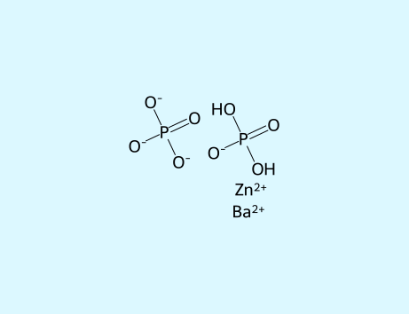 O=P([O-])(O)O.O=P([O-])([O-])[O-].[Ba+2].[Zn+2]